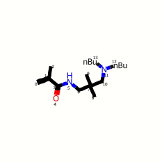 C=C(C)C(=O)NCC(C)(C)CN(CCCC)CCCC